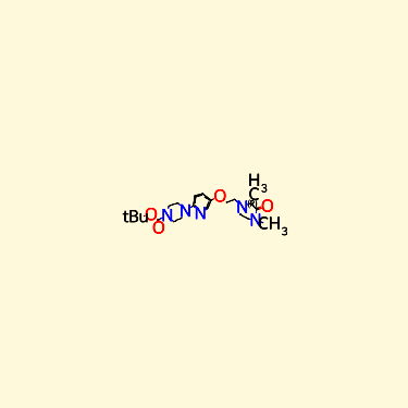 C[C@@H]1C(=O)N(C)CCN1CCOc1ccc(N2CCN(C(=O)OC(C)(C)C)CC2)nc1